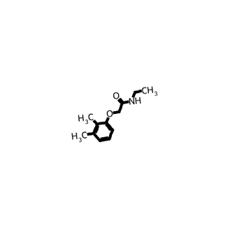 CCNC(=O)COc1cccc(C)c1C